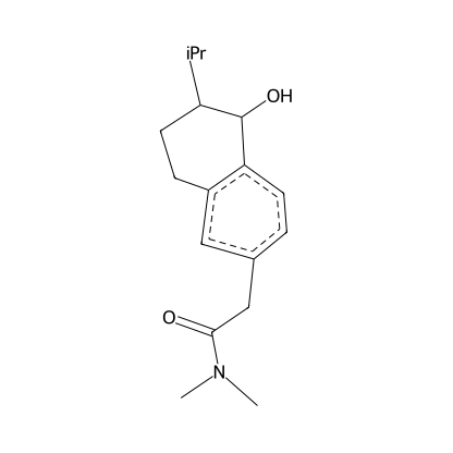 CC(C)C1CCc2cc(CC(=O)N(C)C)ccc2C1O